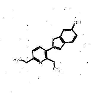 CCc1ccc(-c2cc3ccc(O)cc3s2)c(CC)n1